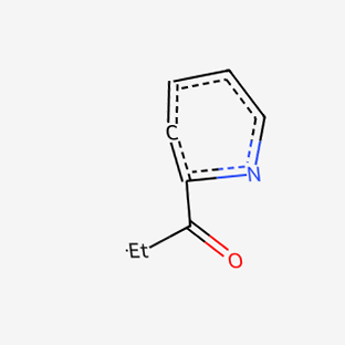 C[CH]C(=O)c1ccccn1